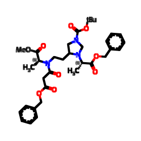 COC(=O)[C@H](C)N(CCC1CN(C(=O)OC(C)(C)C)CN1[C@@H](C)C(=O)OCc1ccccc1)C(=O)CC(=O)OCc1ccccc1